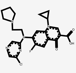 O=C(O)c1cn(C2CC2)c2cc(N(CCN3CCCC3)c3cncc(Cl)n3)c(F)cc2c1=O